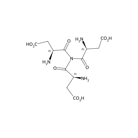 N[C@@H](CC(=O)O)C(=O)N(C(=O)[C@@H](N)CC(=O)O)C(=O)[C@@H](N)CC(=O)O